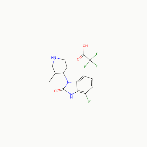 CC1CNCCC1n1c(=O)[nH]c2c(Br)cccc21.O=C(O)C(F)(F)F